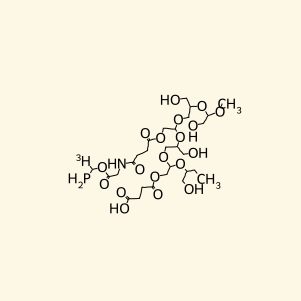 [3H]C(P)OC(=O)CNC(=O)CCC(=O)OCC(OCC(CO)OC(CO)OC)OC(CO)COC(COC(=O)CCC(=O)O)OC(CC)CO